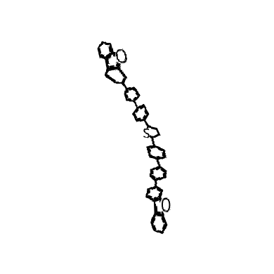 C1=CC(c2ccc(-c3ccc(C4CCC(c5ccc(-c6ccc(-c7ccc8c(c7)oc7ccccc78)cc6)cc5)S4)cc3)cc2)Cc2oc3ccccc3c21